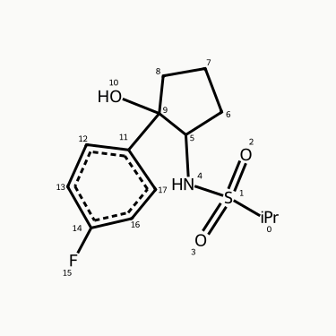 CC(C)S(=O)(=O)NC1CCCC1(O)c1ccc(F)cc1